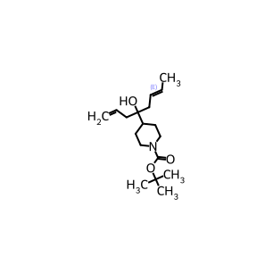 C=CCC(O)(C/C=C/C)C1CCN(C(=O)OC(C)(C)C)CC1